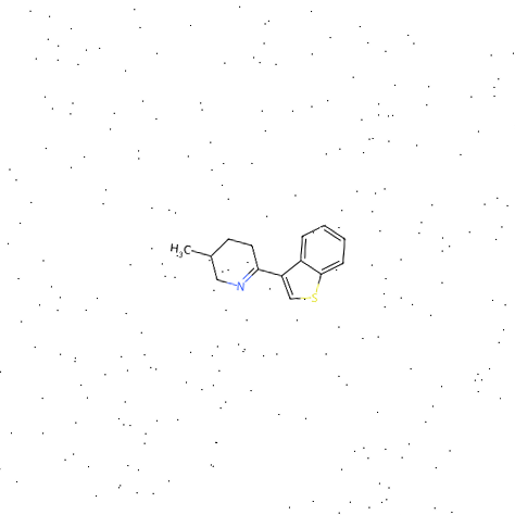 CC1CCC(c2csc3ccccc23)=NC1